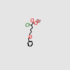 O=C(OBr)C(Cl)CCCCOCc1ccccc1